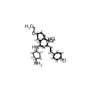 CCOc1ccc2nc(/C=C/c3ccc(Cl)cc3)nc(NC3CCC(N)CC3)c2c1.Cl.Cl